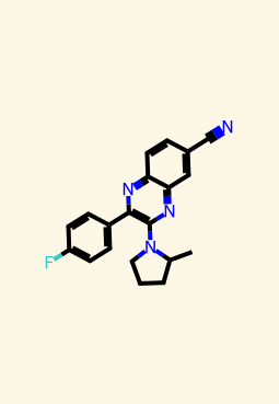 CC1CCCN1c1nc2cc(C#N)ccc2nc1-c1ccc(F)cc1